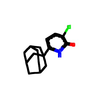 O=c1[nH]c(C23CC4CC(CC(C4)C2)C3)ccc1Cl